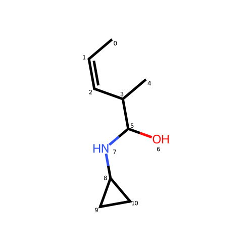 C/C=C\C(C)C(O)NC1CC1